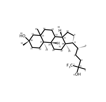 C[C@H](CCC(C)(O)C(F)(F)F)[C@H]1CC[C@H]2C3CCC4(C)C[C@@](C)(O)CC[C@]4(C)[C@H]3CC[C@]12C